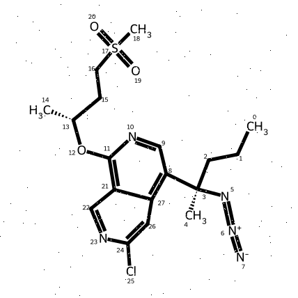 CCC[C@@](C)(N=[N+]=[N-])c1cnc(O[C@H](C)CCS(C)(=O)=O)c2cnc(Cl)cc12